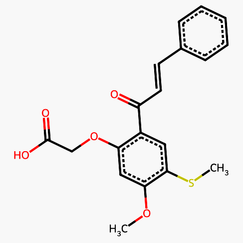 COc1cc(OCC(=O)O)c(C(=O)/C=C/c2ccccc2)cc1SC